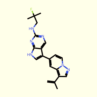 C=C(C)c1cnn2ccc(-c3c[nH]c4nc(NCC(C)(C)F)ncc34)cc12